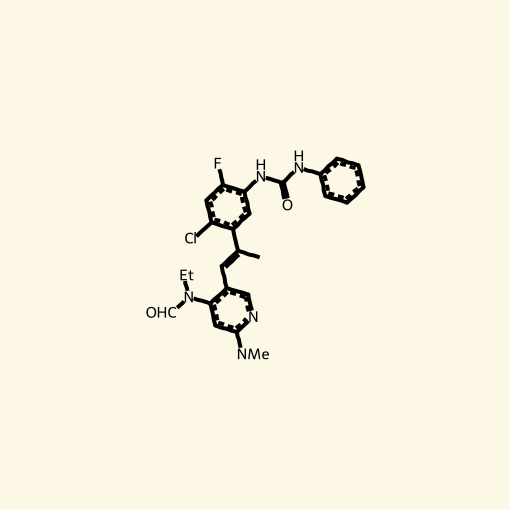 CCN(C=O)c1cc(NC)ncc1/C=C(\C)c1cc(NC(=O)Nc2ccccc2)c(F)cc1Cl